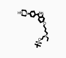 CCN(CCCCOc1ccc2c(-c3ccc(N4CCNCC4)cc3)nsc2c1)CCO[Si](C)(C)C(C)(C)C